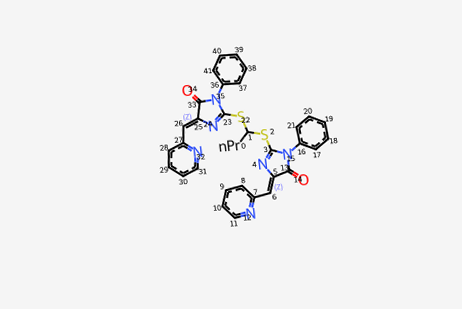 CCCC(SC1=N/C(=C\c2ccccn2)C(=O)N1c1ccccc1)SC1=N/C(=C\c2ccccn2)C(=O)N1c1ccccc1